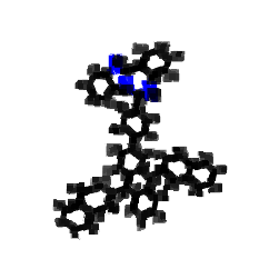 c1ccc2cc(-c3c4ccccc4c(-c4ccc5ccccc5c4)c4cc(-c5ccc(-c6nc7ccccc7c7nc8ccccc8n67)cc5)ccc34)ccc2c1